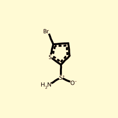 N[S+]([O-])c1ccc(Br)s1